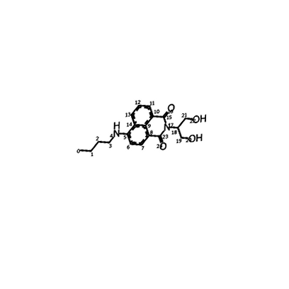 CCCCNc1ccc2c3c(cccc13)C(=O)N(C(CO)CO)C2=O